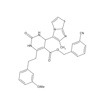 COc1cccc(CCC2=C(C(=O)OCc3cccc(C#N)c3)C(c3c(C)nc4sccn34)NC(=O)N2)c1